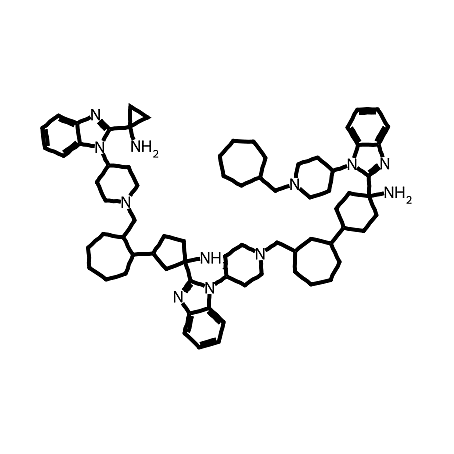 NC1(c2nc3ccccc3n2C2CCN(CC3CCCCCC3)CC2)CCC(C2CCCCC(CN3CCC(n4c(C5(N)CCC(C6CCCCCC6CN6CCC(n7c(C8(N)CC8)nc8ccccc87)CC6)C5)nc5ccccc54)CC3)C2)CC1